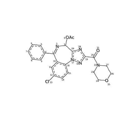 CC(=O)OC1N=C(c2ccccc2)c2cc(Cl)ccc2-n2nc(C(=O)N3CCOCC3)nc21